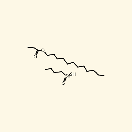 CCCCCCCCCCCCOC(=O)CC.CCC[CH2][Sn](=[S])[SH]